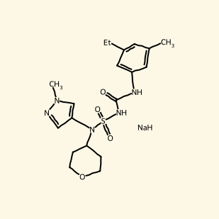 CCc1cc(C)cc(NC(=O)NS(=O)(=O)N(c2cnn(C)c2)C2CCOCC2)c1.[NaH]